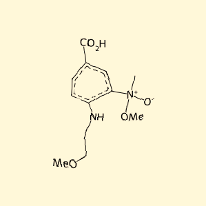 COCCNc1ccc(C(=O)O)cc1[N+](C)([O-])OC